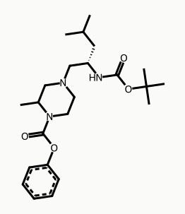 CC(C)C[C@@H](CN1CCN(C(=O)Oc2ccccc2)C(C)C1)NC(=O)OC(C)(C)C